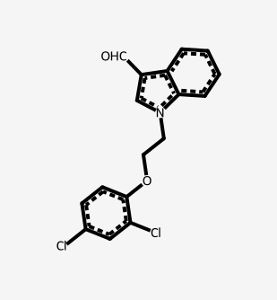 O=Cc1cn(CCOc2ccc(Cl)cc2Cl)c2ccccc12